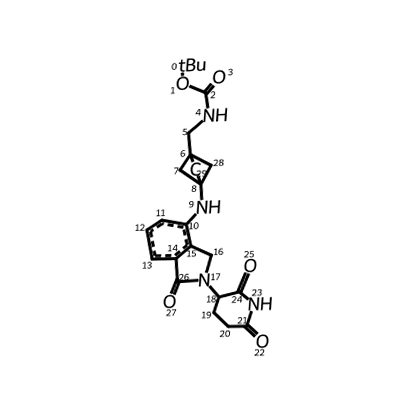 CC(C)(C)OC(=O)NCC12CC(Nc3cccc4c3CN(C3CCC(=O)NC3=O)C4=O)(C1)C2